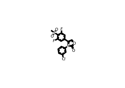 CS(=O)(=O)c1c(F)cc(-c2coc(=O)n2-c2cccc(Cl)c2)cc1F